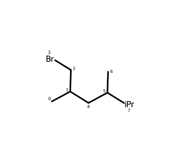 CC(CBr)CC(C)C(C)C